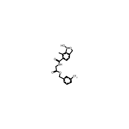 Cc1c(C(=O)NCC(=O)OCc2cccc(C(F)(F)F)c2)ccc2c1B(O)OC2